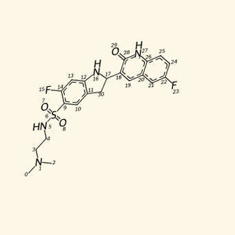 CN(C)CCNS(=O)(=O)c1cc2c(cc1F)NC(c1cc3cc(F)ccc3[nH]c1=O)C2